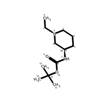 CCN1CCC[C@@H](NC(=O)OC(C)(C)C)C1